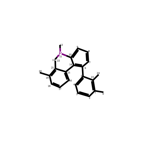 Cc1cccc(-c2cccc(P(C)C)c2-c2cccc(C)c2C)c1C